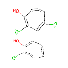 Oc1ccc(Cl)cc1Cl.Oc1ccccc1Cl